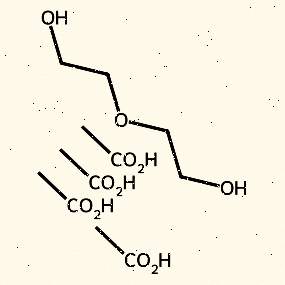 CC(=O)O.CC(=O)O.CC(=O)O.CC(=O)O.OCCOCCO